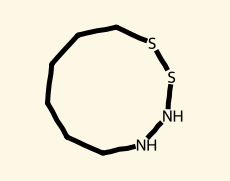 C1CCCSSNNCC1